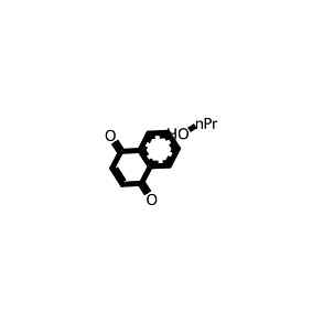 CCCO.O=C1C=CC(=O)c2ccccc21